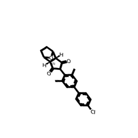 Cc1cc(-c2ccc(Cl)cc2)cc(C)c1C1C(=O)[C@@H]2C3CCC(O3)[C@@H]2C1=O